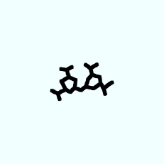 CC(C)C1CC(CC2CC(C(C)C)CC(C(C)C)C2)CC(C(C)C)C1